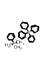 C[P+](C)(C)c1ccccc1.c1ccc([B-](c2ccccc2)(c2ccccc2)c2ccccc2)cc1